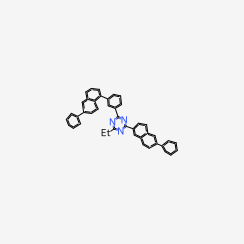 CCc1nc(-c2cccc(-c3cccc4cc(-c5ccccc5)ccc34)c2)nc(-c2ccc3cc(-c4ccccc4)ccc3c2)n1